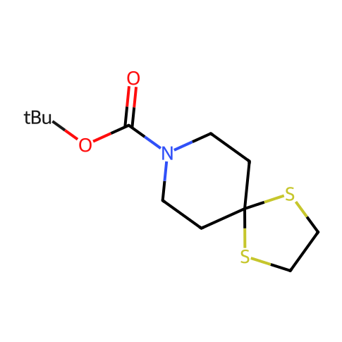 CC(C)(C)OC(=O)N1CCC2(CC1)SCCS2